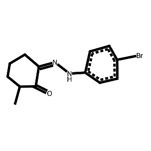 CC1CCCC(=NNc2ccc(Br)cc2)C1=O